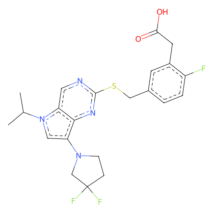 CC(C)n1cc(N2CCC(F)(F)C2)c2nc(SCc3ccc(F)c(CC(=O)O)c3)ncc21